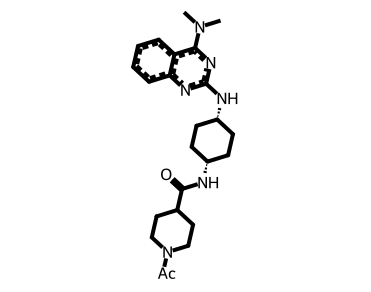 CC(=O)N1CCC(C(=O)N[C@H]2CC[C@@H](Nc3nc(N(C)C)c4ccccc4n3)CC2)CC1